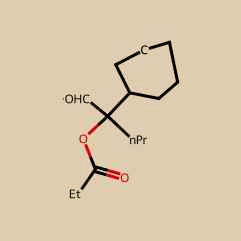 CCCC([C]=O)(OC(=O)CC)C1CCCCC1